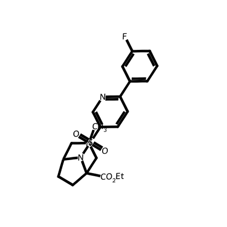 CCOC(=O)C12CCC(CN(C)C1)N2S(=O)(=O)c1ccc(-c2cccc(F)c2)nc1